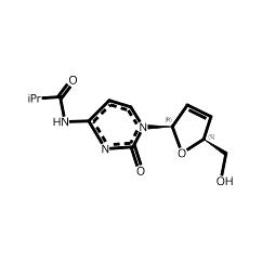 CC(C)C(=O)Nc1ccn([C@H]2C=C[C@@H](CO)O2)c(=O)n1